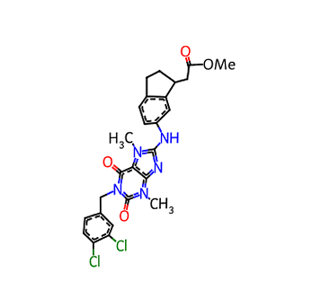 COC(=O)CC1CCc2ccc(Nc3nc4c(c(=O)n(Cc5ccc(Cl)c(Cl)c5)c(=O)n4C)n3C)cc21